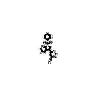 N#Cc1cc(-c2cn(S(=O)(=O)c3ccccc3)c3ncccc23)ncn1